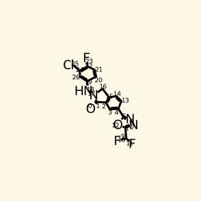 O=C1c2cc(-c3nnc(C(F)F)o3)ccc2CN1Nc1ccc(F)c(Cl)c1